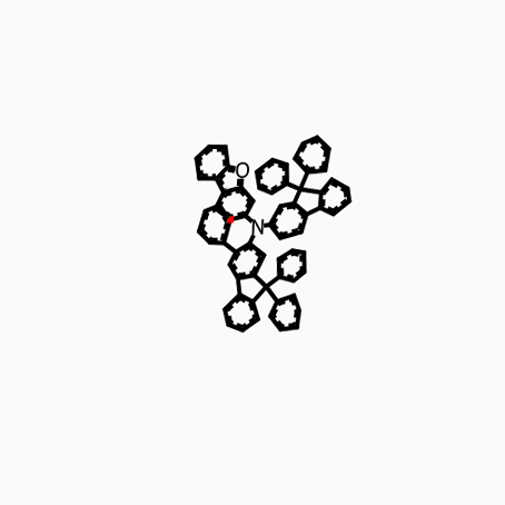 c1ccc(-c2cc3c(cc2N(c2ccc4c(c2)C(c2ccccc2)(c2ccccc2)c2ccccc2-4)c2ccc4c(c2)oc2ccccc24)C(c2ccccc2)(c2ccccc2)c2ccccc2-3)cc1